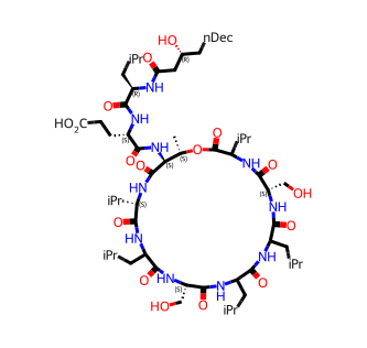 CCCCCCCCCCC[C@@H](O)CC(=O)N[C@H](CC(C)C)C(=O)N[C@@H](CCC(=O)O)C(=O)N[C@@H]1C(=O)N[C@@H](C(C)C)C(=O)NC(CC(C)C)C(=O)N[C@@H](CO)C(=O)NC(CC(C)C)C(=O)NC(CC(C)C)C(=O)N[C@@H](CO)C(=O)NC(C(C)C)C(=O)O[C@H]1C